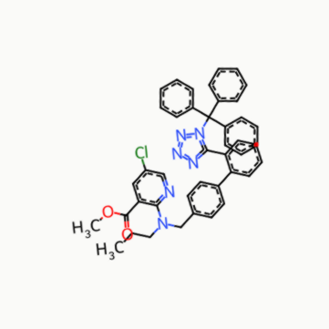 CCCN(Cc1ccc(-c2ccccc2-c2nnnn2C(c2ccccc2)(c2ccccc2)c2ccccc2)cc1)c1ncc(Cl)cc1C(=O)OC